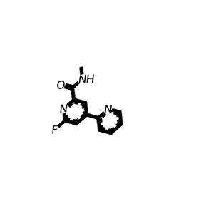 CNC(=O)c1cc(-c2ccccn2)cc(F)n1